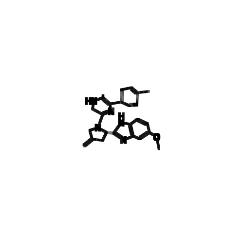 C=C1C[C@@H](c2nc3cc(OC)ccc3[nH]2)N(C2=NC(c3ccc(C)cc3)=[C]NC2)C1